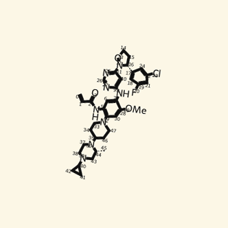 C=CC(=O)Nc1cc(Nc2cc(N3OCC[C@@H]3c3cc(F)cc(Cl)c3)ncn2)c(OC)cc1N1CCC(N2CCN(C3CC3)C[C@H]2C)CC1